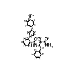 CC(C)c1ccc(-c2ccn(-c3ncccc3C(=O)NC(Cc3ccccc3)C(=O)C(N)=O)n2)cc1